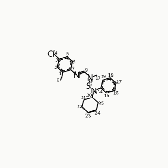 Cc1cc(Cl)ccc1N=CN(C)SN(c1ccccc1)C1CCCCC1